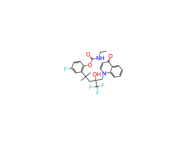 CCNC(=O)Oc1ccc(F)cc1C(C)(C)CC(O)(Cn1ccc(=O)c2ccccc21)C(F)(F)F